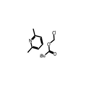 CCC(C)C(=O)OCCl.Cc1cccc(C)n1